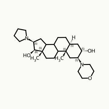 C[C@]12CCC3C(CC[C@H]4C[C@H](O)[C@@H](N5CCOCC5)C[C@]34C)C1C[C@H](N1CCCC1)[C@@H]2O